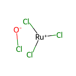 [Cl][Ru+]([Cl])[Cl].[O-]Cl